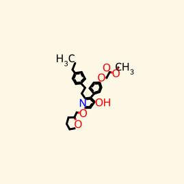 CCCc1ccc(CCc2nc(OCC3CCCCO3)cc(O)c2-c2ccc(OCC(=O)OC)cc2)cc1